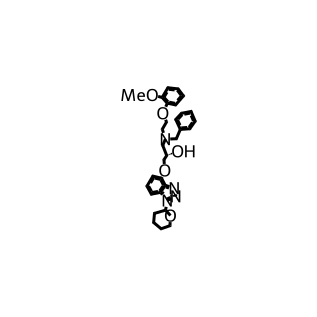 COc1ccccc1OCCN(Cc1ccccc1)C[C@H](O)COc1cccc2c1nnn2C1CCCCO1